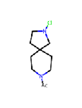 CC(=O)N1CCC2(CCN(Cl)C2)CC1